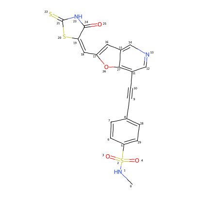 CNS(=O)(=O)c1ccc(C#Cc2cncc3cc(/C=C4/SC(=S)NC4=O)oc23)cc1